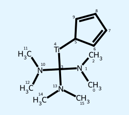 CN(C)[C]([Ti][CH]1C=CC=C1)(N(C)C)N(C)C